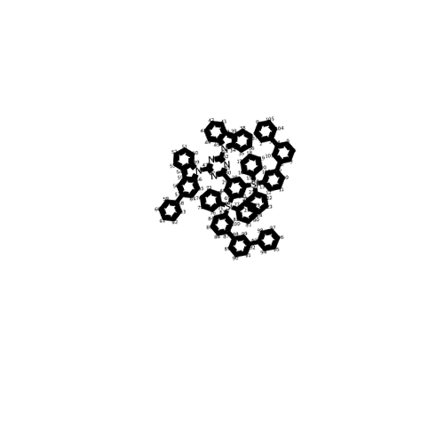 c1ccc(-c2cccc(-c3cccc([Si](c4ccccc4)(c4ccccc4)c4cc(-c5nc(-n6c7ccccc7c7ccccc76)nc(-n6c7ccccc7c7cc(-c8ccccc8)ccc76)n5)cc([Si](c5ccccc5)(c5ccccc5)c5cccc(-c6cccc(-c7ccccc7)c6)c5)c4)c3)c2)cc1